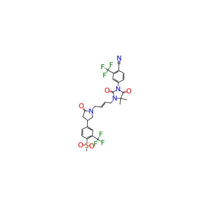 CC1(C)C(=O)N(c2ccc(C#N)c(C(F)(F)F)c2)C(=O)N1CC=CCN1CC(c2ccc(S(C)(=O)=O)c(C(F)(F)F)c2)CC1=O